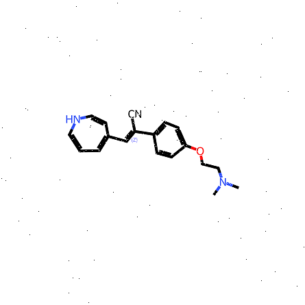 CN(C)CCOc1ccc(/C(C#N)=C/C2=CC=CNC=C2)cc1